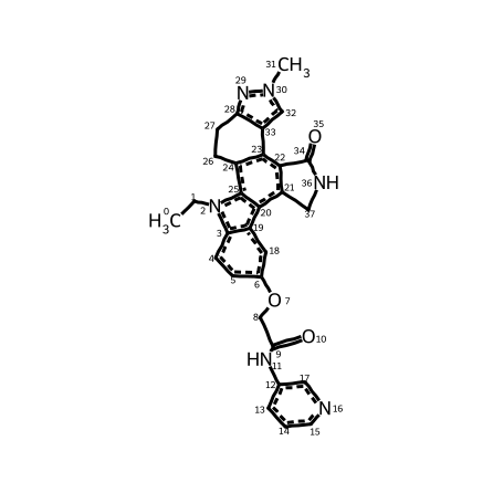 CCn1c2ccc(OCC(=O)Nc3cccnc3)cc2c2c3c(c4c(c21)CCc1nn(C)cc1-4)C(=O)NC3